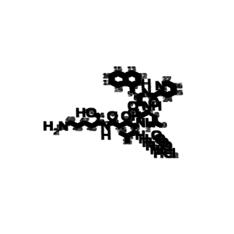 CC(C)C[C@H](NC(=O)[C@H](Cc1cccc2ccccc12)NC(=O)c1ccccn1)C(=O)N[C@@H](CC(C)C)[C@@H](O)CC(=O)N[C@H](CO)CCCCN.Cl.Cl.O.O.O.O